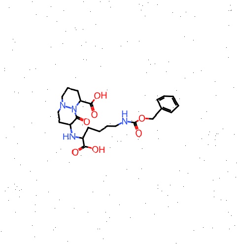 O=C(NCCCCC(NC1CCN2CCCC(C(=O)O)N2C1=O)C(=O)O)OCc1ccccc1